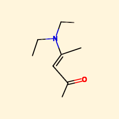 CCN(CC)C(C)=CC(C)=O